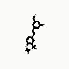 O=Cc1cc(Cl)cc(/C=C/c2ccc3c(c2)C(F)(F)OC(F)(F)O3)c1